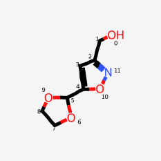 OCc1cc(C2OCCO2)on1